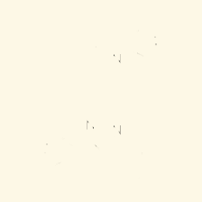 C1=CC(n2c3ccccc3c3ccccc32)CC=C1c1nc(-c2ccccc2)cc(-c2ccccc2)n1